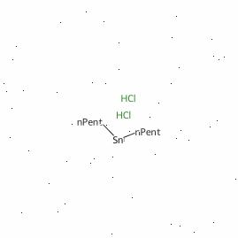 CCCC[CH2][Sn][CH2]CCCC.Cl.Cl